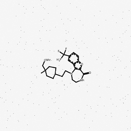 COCC1(C)CCC(CCN2CCNC(=O)c3oc4ccc(C(F)(F)P)cc4c32)CC1